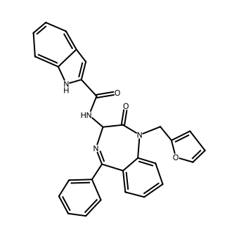 O=C(NC1N=C(c2ccccc2)c2ccccc2N(Cc2ccco2)C1=O)c1cc2ccccc2[nH]1